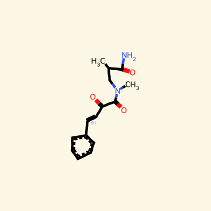 CC(CN(C)C(=O)C(=O)/C=C/c1ccccc1)C(N)=O